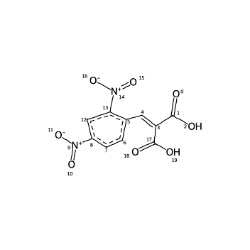 O=C(O)C(=Cc1ccc([N+](=O)[O-])cc1[N+](=O)[O-])C(=O)O